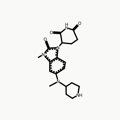 CN(c1ccc2c(c1)n(C)c(=O)n2C1CCC(=O)NC1=O)C1CCNCC1